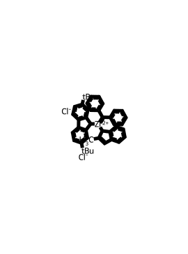 CC1=Cc2ccccc2[CH]1[Zr+2](=[C](c1ccccc1)c1ccccc1)[CH]1c2cc(C(C)(C)C)ccc2-c2ccc(C(C)(C)C)cc21.[Cl-].[Cl-]